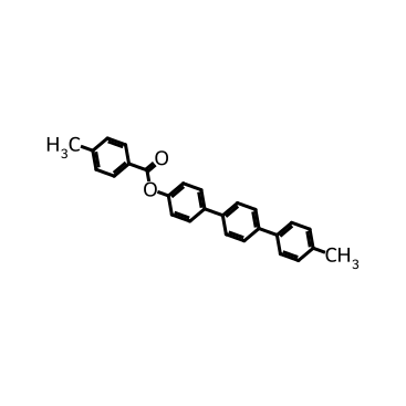 Cc1ccc(C(=O)Oc2ccc(-c3ccc(-c4ccc(C)cc4)cc3)cc2)cc1